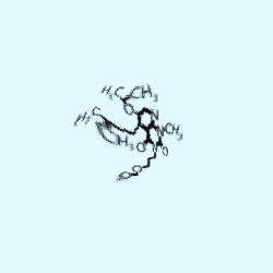 CC(C)CCc1c(OC(C)C)cnc2c1c(=O)n(CCCOC=O)c(=O)n2C